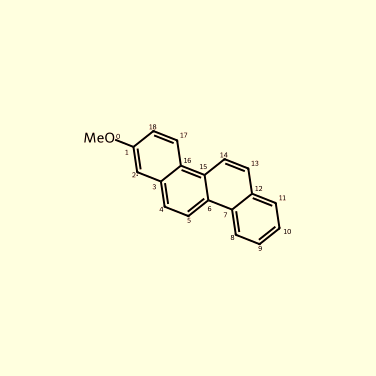 COc1[c]c2ccc3c4ccccc4ccc3c2cc1